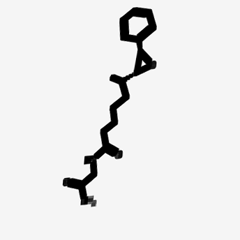 CC(CCCCC(=O)NCC(N)=O)[C@H]1O[C@@H]1c1ccccc1